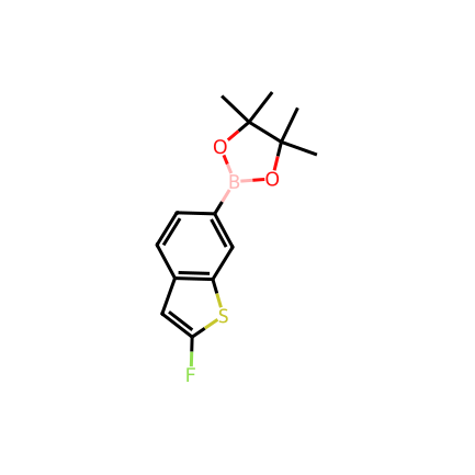 CC1(C)OB(c2ccc3cc(F)sc3c2)OC1(C)C